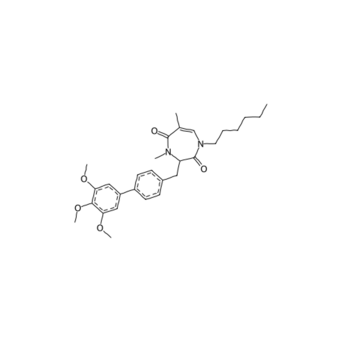 CCCCCCN1C=C(C)C(=O)N(C)C(Cc2ccc(-c3cc(OC)c(OC)c(OC)c3)cc2)C1=O